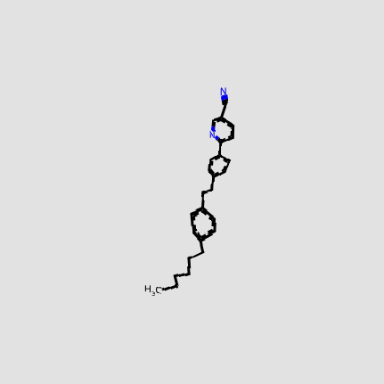 CCCCCCc1ccc(CCc2ccc(-c3ccc(C#N)cn3)cc2)cc1